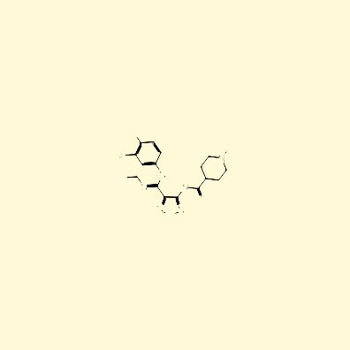 CCN1CCC(C(=O)Nc2nonc2/C(=N/CO)Nc2ccc(F)c(Br)c2)CC1